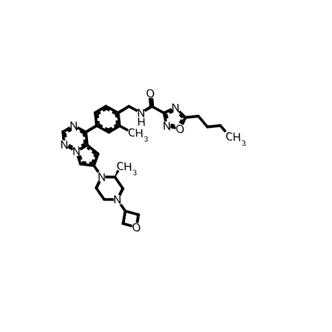 CCCCc1nc(C(=O)NCc2ccc(-c3ncnn4cc(N5CCN(C6COC6)C[C@@H]5C)cc34)cc2C)no1